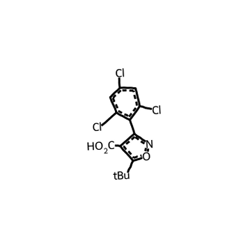 CC(C)(C)c1onc(-c2c(Cl)cc(Cl)cc2Cl)c1C(=O)O